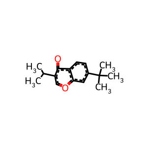 CC(C)c1coc2cc(C(C)(C)C)ccc2c1=O